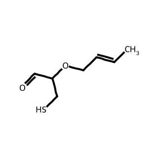 CC=CCOC(C=O)CS